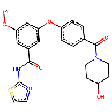 CC(C)Oc1cc(Oc2ccc(C(=O)N3CCC(O)CC3)cc2)cc(C(=O)Nc2nccs2)c1